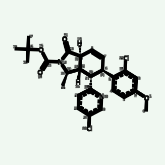 COc1ccc([C@@H]2C=C[C@@H]3C(=O)N(C(=O)OC(C)(C)C)[C@H](C)[C@H]3[C@H]2c2ccc(Cl)cn2)c(Cl)c1